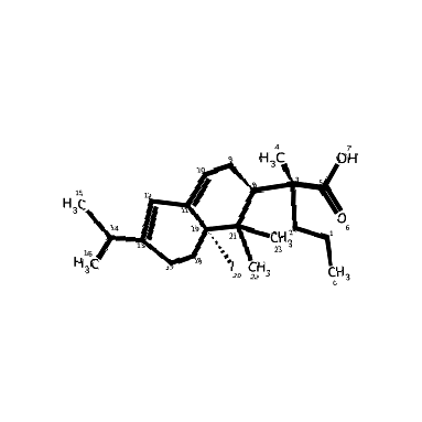 CCC[C@@](C)(C(=O)O)[C@@H]1CC=C2C=C(C(C)C)CC[C@]2(I)C1(C)C